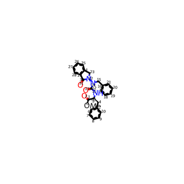 COC(=O)[C@H](Cc1ccccc1)NC(=O)N(Cc1ccccc1)N1Cc2ccccc2C1=O